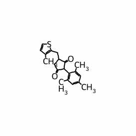 Cc1cc(C)c(C2C(=O)CC(Cc3sccc3C)C2=O)c(C)c1